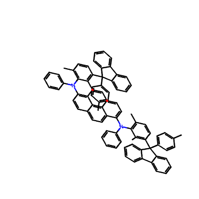 Cc1ccc(C2(c3ccc(C)c(N(c4ccccc4)c4ccc5ccc6c(N(c7ccccc7)c7c(C)ccc(C8(c9ccc(C)cc9)c9ccccc9-c9ccccc98)c7C)ccc7ccc4c5c76)c3C)c3ccccc3-c3ccccc32)cc1